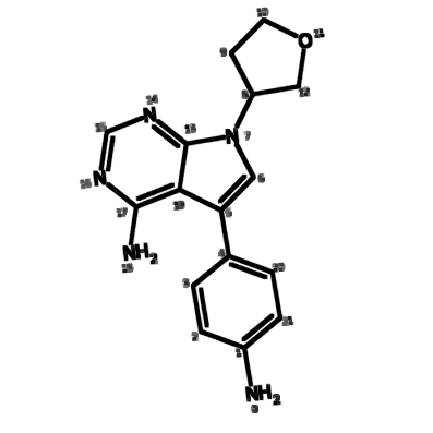 Nc1ccc(-c2cn(C3CCOC3)c3ncnc(N)c23)cc1